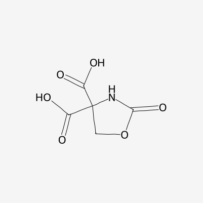 O=C1NC(C(=O)O)(C(=O)O)CO1